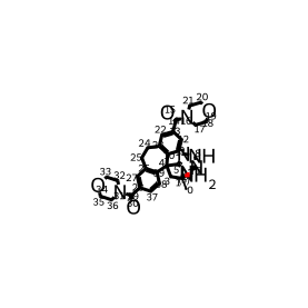 C[C@H](N)CC1(c2nn[nH]n2)c2ccc(C(=O)N3CCOCC3)cc2CCc2cc(C(=O)N3CCOCC3)ccc21